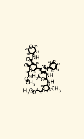 COCCN1C[C@@H](C)[C@H](NC(=O)Nc2c(C)c(-c3cc(C(=O)NC4CCOCC4)c(=O)n(CCOC)c3)nn2-c2ccccc2)C1